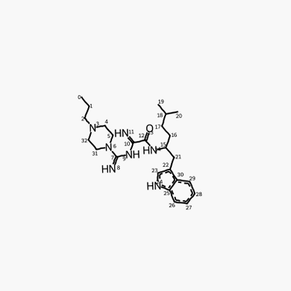 CCCN1CCN(C(=N)NC(=N)C(=O)NC(CCC(C)C)Cc2c[nH]c3ccccc23)CC1